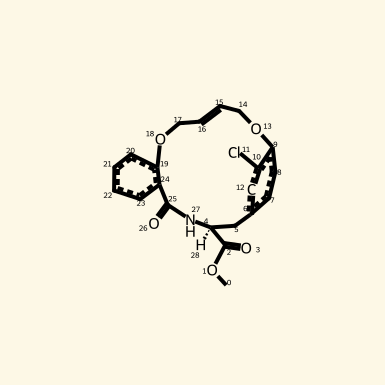 COC(=O)[C@@H]1Cc2ccc(c(Cl)c2)OC/C=C/COc2ccccc2C(=O)N1